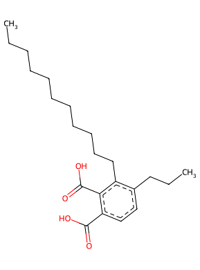 CCCCCCCCCCCc1c(CCC)ccc(C(=O)O)c1C(=O)O